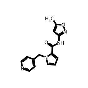 Cc1cc(NC(=O)c2cccn2Cc2ccncc2)no1